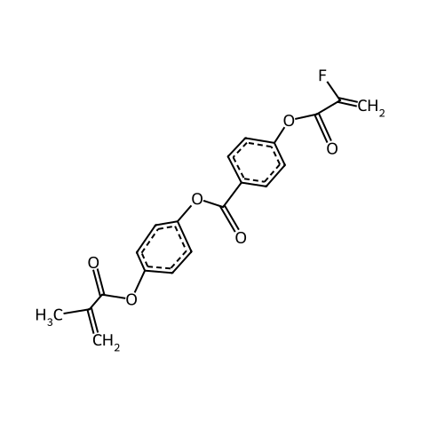 C=C(C)C(=O)Oc1ccc(OC(=O)c2ccc(OC(=O)C(=C)F)cc2)cc1